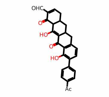 CC(=O)c1ccc(-c2ccc3c(c2O)C(=O)C2=C(O)C4C(=O)C(C=O)=CCC4CC2C3)cc1